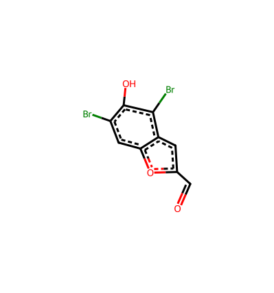 O=Cc1cc2c(Br)c(O)c(Br)cc2o1